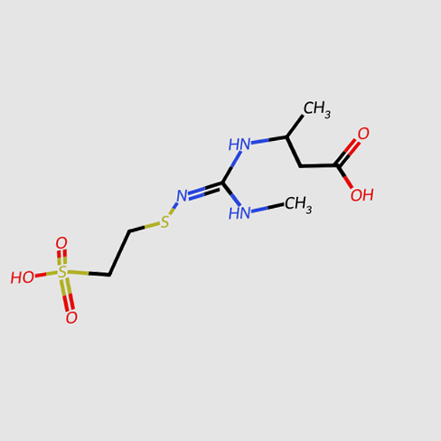 CN/C(=N\SCCS(=O)(=O)O)NC(C)CC(=O)O